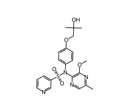 COc1nc(C)cnc1N(c1ccc(OCC(C)(C)O)cc1)S(=O)(=O)c1cccnc1